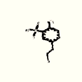 Cc1ccc(CC[O])cc1S(N)(=O)=O